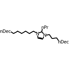 CCCCCCCCCCCCCCCCN1C=CN(CCCCCCCCCCCCC)C1CCC